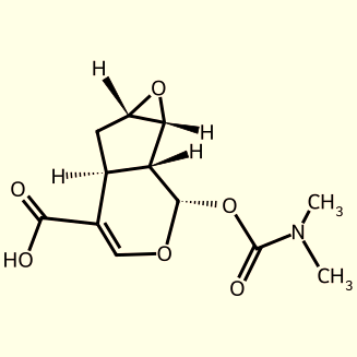 CN(C)C(=O)O[C@@H]1OC=C(C(=O)O)[C@H]2C[C@@H]3O[C@@H]3[C@H]12